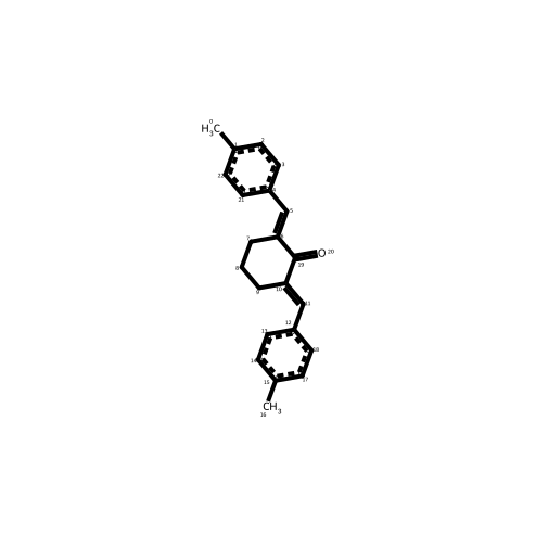 Cc1ccc(C=C2CCCC(=Cc3ccc(C)cc3)C2=O)cc1